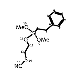 CO[Si](CCc1ccccc1)(OC)OCCSC#N